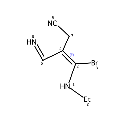 CCN/C(Br)=C(\C=N)CC#N